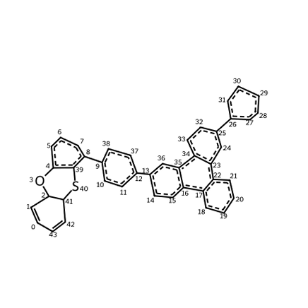 C1=CC2Oc3cccc(-c4ccc(-c5ccc6c7ccccc7c7cc(-c8ccccc8)ccc7c6c5)cc4)c3SC2C=C1